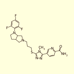 Cn1c(SCCCN2CC3CCN(c4c(F)cc(F)cc4F)C3C2)nnc1-c1ccc(C(N)=O)nc1